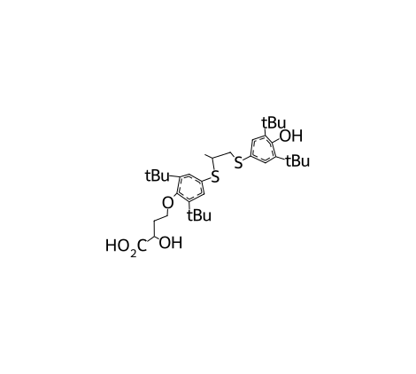 CC(CSc1cc(C(C)(C)C)c(O)c(C(C)(C)C)c1)Sc1cc(C(C)(C)C)c(OCCC(O)C(=O)O)c(C(C)(C)C)c1